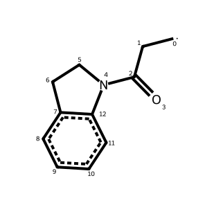 [CH2]CC(=O)N1CCc2ccccc21